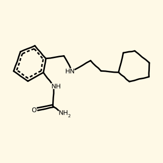 NC(=O)Nc1ccccc1CNCCC1CCCCC1